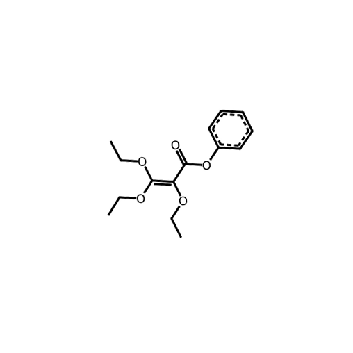 CCOC(OCC)=C(OCC)C(=O)Oc1ccccc1